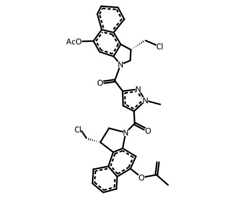 C=C(C)Oc1cc2c(c3ccccc13)[C@H](CCl)CN2C(=O)c1cc(C(=O)N2C[C@@H](CCl)c3c2cc(OC(C)=O)c2ccccc32)nn1C